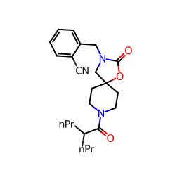 CCCC(CCC)C(=O)N1CCC2(CC1)CN(Cc1ccccc1C#N)C(=O)O2